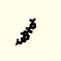 CC1CN(C(=O)Nc2cnnc(C(F)F)c2)c2cnc3cc(OC(F)F)nn3c21